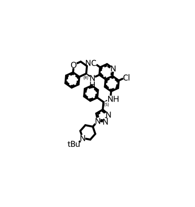 CC(C)(C)N1CCC(n2cc([C@@H](Nc3cc(Cl)c4ncc(C#N)c(N[C@@H]5CCOc6ccccc65)c4c3)c3ccccc3)nn2)CC1